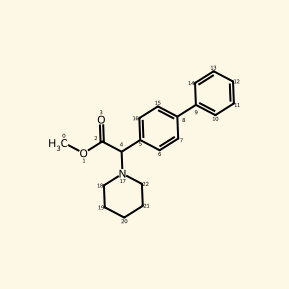 COC(=O)C(c1ccc(-c2ccccc2)cc1)N1CCCCC1